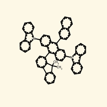 CC1(C)c2ccccc2-c2cccc(-c3c4ccc(-n5c6ccccc6c6ccccc65)cc4c(-c4ccc5ccccc5c4)c4ccc(-n5c6ccccc6c6ccccc65)cc34)c21